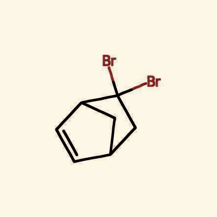 BrC1(Br)CC2C=CC1C2